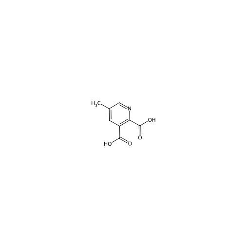 Cc1cnc(C(=O)O)c(C(=O)O)c1